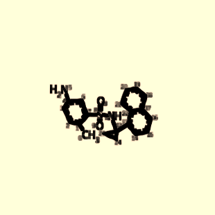 Cc1ccc(N)cc1S(=O)(=O)NC1(c2cccc3ccccc23)CC1